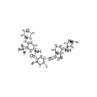 Cc1cc(F)c(C(=O)Nc2ccc(CN3CCOCC3)c(C(F)(F)F)c2)cc1C#Cc1cnc2c(Nc3cnn(C)c3)cccn12